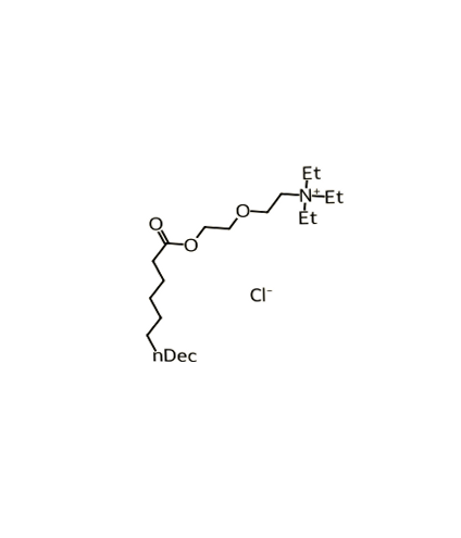 CCCCCCCCCCCCCCCC(=O)OCCOCC[N+](CC)(CC)CC.[Cl-]